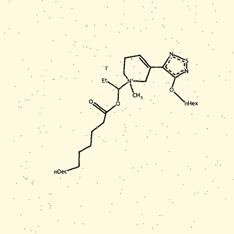 CCCCCCCCCCCCCCCC(=O)OC(CC)[N+]1(C)CCC=C(c2nsnc2OCCCCCC)C1.[I-]